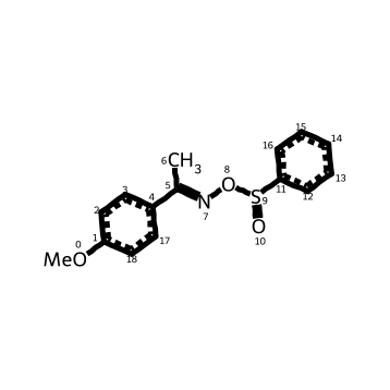 COc1ccc(/C(C)=N/OS(=O)c2ccccc2)cc1